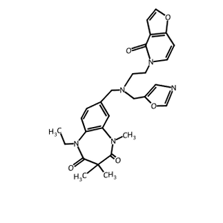 CCN1C(=O)C(C)(C)C(=O)N(C)c2cc(CN(CCn3ccc4occc4c3=O)Cc3cnco3)ccc21